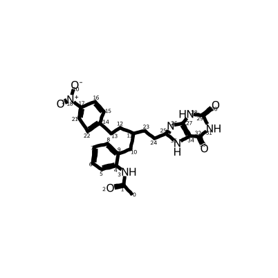 CC(=O)Nc1ccccc1CC(CCc1ccc([N+](=O)[O-])cc1)CCc1nc2[nH]c(=O)[nH]c(=O)c2[nH]1